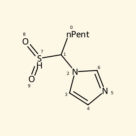 CCCCCC(n1ccnc1)[SH](=O)=O